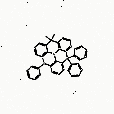 CC1(C)c2cccc3c2N2c4c(cccc4[Si](c4ccccc4)(c4ccccc4)c4cccc1c42)B3c1ccccc1